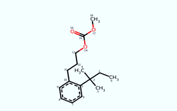 CCC(C)(C)c1ccccc1CCCOC(=O)OC